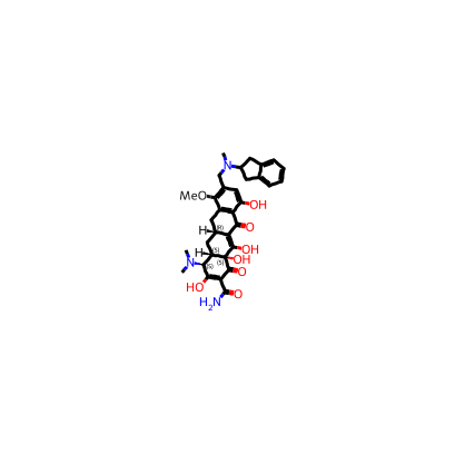 COc1c(CN(C)C2Cc3ccccc3C2)cc(O)c2c1C[C@H]1C[C@H]3[C@H](N(C)C)C(O)=C(C(N)=O)C(=O)[C@@]3(O)C(O)=C1C2=O